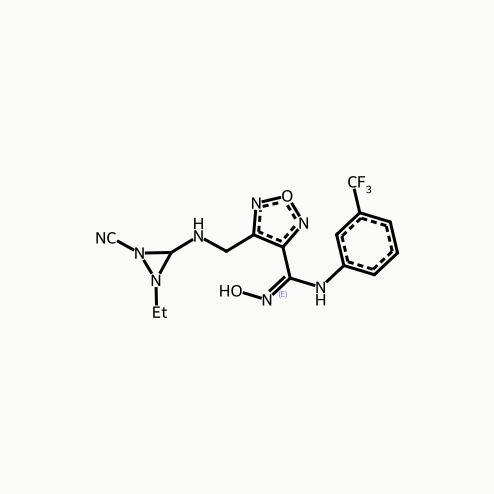 CCN1C(NCc2nonc2/C(=N\O)Nc2cccc(C(F)(F)F)c2)N1C#N